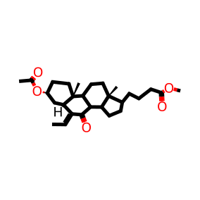 C/C=C1/C(=O)C2C3CCC(CCCC(=O)OC)[C@@]3(C)CCC2[C@@]2(C)CC[C@@H](OC(C)=O)C[C@@H]12